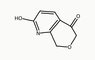 O=C1COCc2nc(O)ccc21